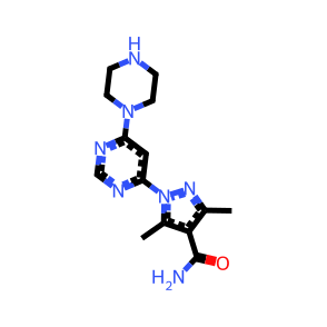 Cc1nn(-c2cc(N3CCNCC3)ncn2)c(C)c1C(N)=O